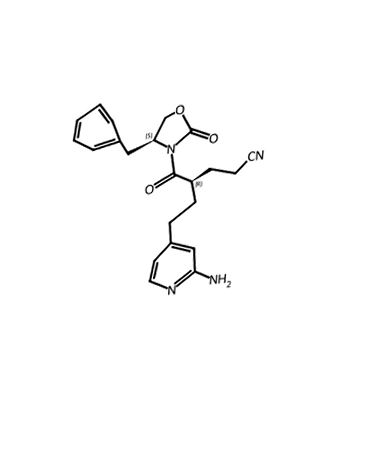 N#CCC[C@@H](CCc1ccnc(N)c1)C(=O)N1C(=O)OC[C@@H]1Cc1ccccc1